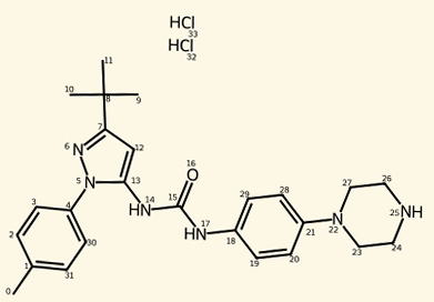 Cc1ccc(-n2nc(C(C)(C)C)cc2NC(=O)Nc2ccc(N3CCNCC3)cc2)cc1.Cl.Cl